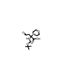 CC(C)(C)OC(=O)NC(CC=O)(C(=O)O)N1CCOCC1